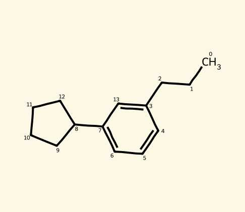 CCCc1cccc(C2CCCC2)c1